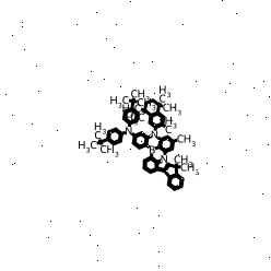 Cc1cc2c3c(c1)-n1c4c(c5cccc(c51)B3c1ccc(N(c3ccc(C(C)(C)C)cc3)c3ccc(C(C)(C)C)cc3)cc1N2c1cc2c(cc1C)C(C)(C)CCC2(C)C)-c1ccccc1C4(C)C